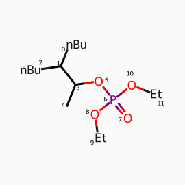 CCCCC(CCCC)C(C)OP(=O)(OCC)OCC